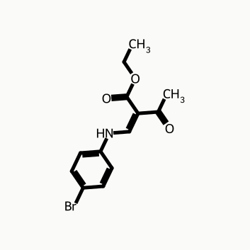 CCOC(=O)C(=CNc1ccc(Br)cc1)C(C)=O